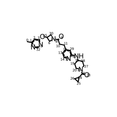 Cc1cc(OC2CN(C(=O)CCc3ccnc(NC4CCN(C(=O)C5CC5)CC4)c3)C2)ncn1